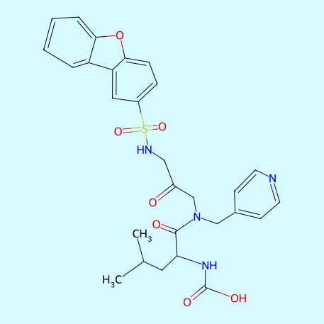 CC(C)CC(NC(=O)O)C(=O)N(CC(=O)CNS(=O)(=O)c1ccc2oc3ccccc3c2c1)Cc1ccncc1